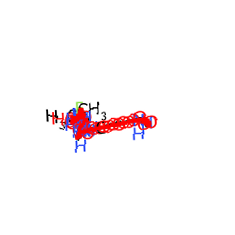 CC[C@@]1(O)C(=O)OCc2c1cc1n(c2=O)Cc2c-1nc1cc(F)c(C)c3c1c2[C@@H](NC(=O)[C@H](OCNC(=O)CNC(=O)[C@H](Cc1ccccc1)NC(=O)CNC(=O)CNC(=O)COCCOCCOCCOCCOCCOCCOCCOCCOCCNC(=O)C1CCC(CN2C(=O)C=CC2=O)CC1)C1CC1)CC3